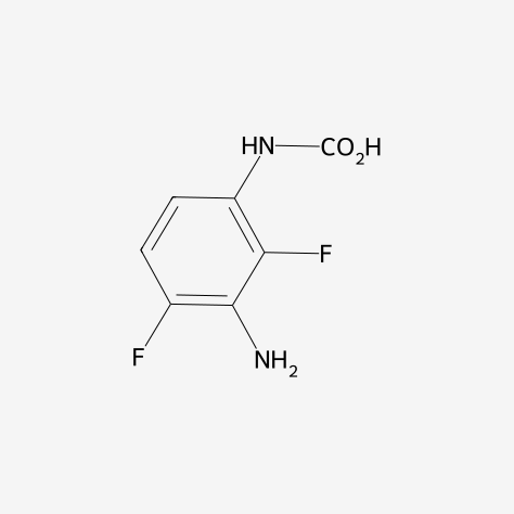 Nc1c(F)ccc(NC(=O)O)c1F